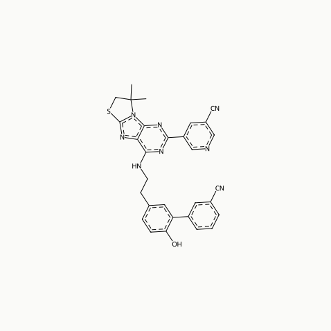 CC1(C)CSc2nc3c(NCCc4ccc(O)c(-c5cccc(C#N)c5)c4)nc(-c4cncc(C#N)c4)nc3n21